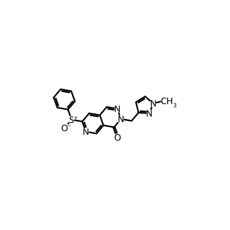 Cn1ccc(Cn2ncc3cc([S+]([O-])c4ccccc4)ncc3c2=O)n1